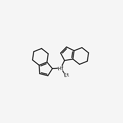 C[CH2][Hf]([CH]1C=CC2=C1CCCC2)[CH]1C=CC2=C1CCCC2